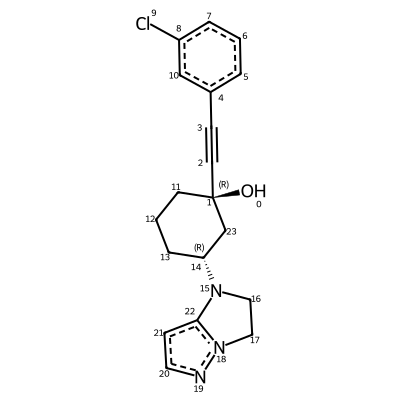 O[C@]1(C#Cc2cccc(Cl)c2)CCC[C@@H](N2CCn3nccc32)C1